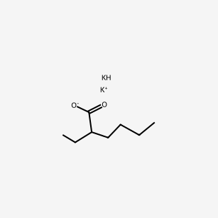 CCCCC(CC)C(=O)[O-].[K+].[KH]